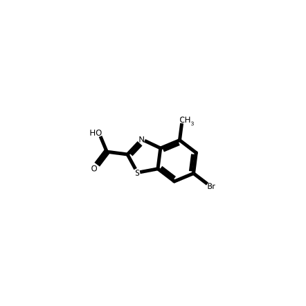 Cc1cc(Br)cc2sc(C(=O)O)nc12